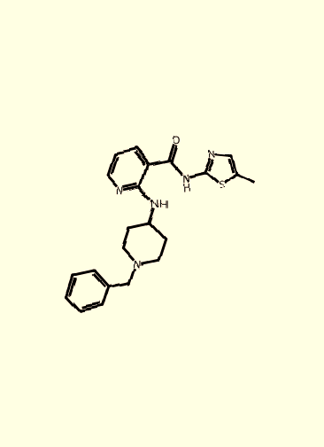 Cc1cnc(NC(=O)c2cccnc2NC2CCN(Cc3ccccc3)CC2)s1